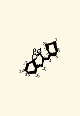 O=[C]C(Cc1ccccc1)Cc1ccccc1.[Pd]